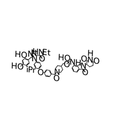 CCNC(=O)c1nnc(-c2cc(C(C)C)c(O)cc2O)n1-c1ccc(Oc2ccc(C(=O)N3CCC(COC(O)Nc4cccc5c4CN(C4CCC(=O)NC4=O)C5=O)CC3)cc2)cc1